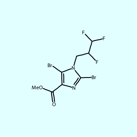 COC(=O)c1nc(Br)n(CC(F)C(F)F)c1Br